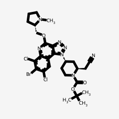 CN1CCC[C@H]1COc1nc2c(Cl)c(Br)c(Cl)cc2c2c1nnn2[C@H]1CCN(C(=O)OC(C)(C)C)[C@H](CC#N)C1